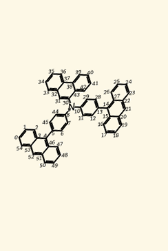 c1ccc2c(-c3ccc(N(c4ccc(-c5c6ccccc6cc6ccccc56)cc4)c4cc5ccccc5c5ccccc45)cc3)c3ccccc3cc2c1